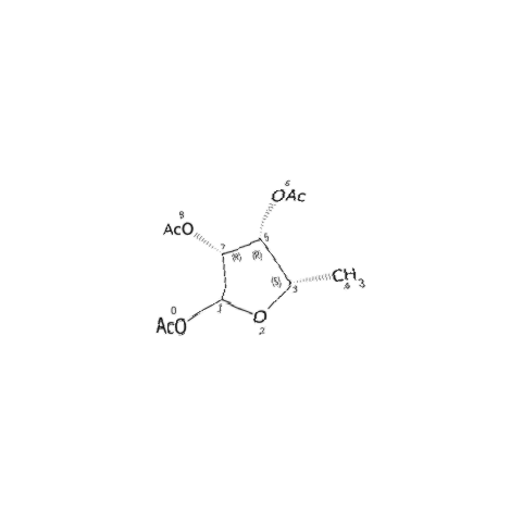 CC(=O)OC1O[C@@H](C)[C@@H](OC(C)=O)[C@H]1OC(C)=O